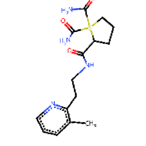 Cc1cccnc1CCNC(=O)C1CCCS1(C(N)=O)C(N)=O